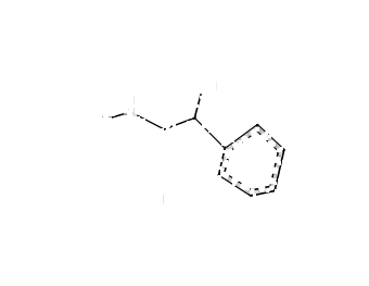 CC(CNN)c1ccccc1.Cl